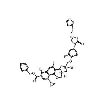 O=C(OCc1ccccc1)c1cn(C2CC2)c2c3c(c(F)cc2c1=O)N1C[C@](O)(COc2ccc(N4C[C@H](COc5ccon5)OC4=O)cc2F)C[C@H]1CO3